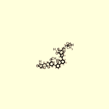 COc1nc(-c2cccc(-c3cccc(-c4cc5c(=O)n(C)c(CNCC(C)(C)O)nn5c4)c3Cl)c2Cl)ccc1CN(CC1CCC(=O)N1)C(=O)O